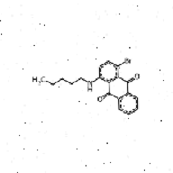 CCCCCNc1ccc(Br)c2c1C(=O)c1ccccc1C2=O